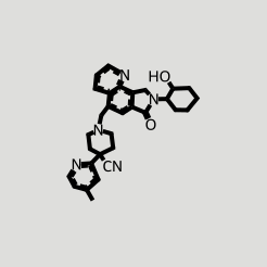 Cc1ccnc(C2(C#N)CCN(Cc3cc4c(c5ncccc35)CN(C3CCCCC3O)C4=O)CC2)c1